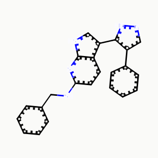 c1ccc(CNc2ccc3c(-c4[nH]ncc4-c4ccccc4)c[nH]c3n2)cc1